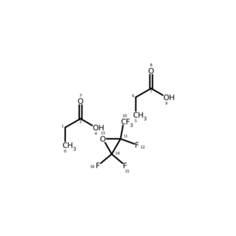 CCC(=O)O.CCC(=O)O.FC(F)(F)C1(F)OC1(F)F